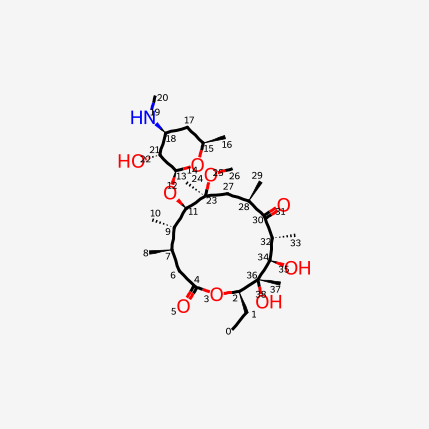 CC[C@H]1OC(=O)C[C@@H](C)[C@H](C)[C@@H](O[C@@H]2O[C@H](C)C[C@H](NC)[C@H]2O)[C@@](C)(OC)C[C@@H](C)C(=O)[C@H](C)[C@@H](O)[C@]1(C)O